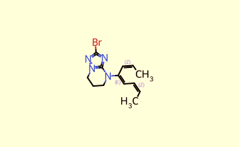 C\C=C/C=C(\C=C/C)N1CCCn2nc(Br)nc21